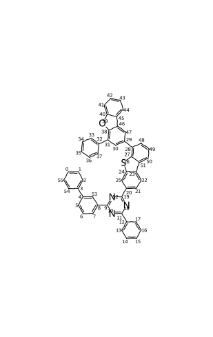 c1ccc(-c2cccc(-c3nc(-c4ccccc4)nc(-c4ccc5c(c4)sc4c(-c6cc(-c7ccccc7)c7oc8ccccc8c7c6)cccc45)n3)c2)cc1